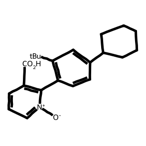 CC(C)(C)c1cc(C2CCCCC2)ccc1-c1c(C(=O)O)ccc[n+]1[O-]